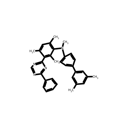 Cc1cc(C)cc(-c2ccc(N(C)c3c(C)cc(C)c(-c4ncnc(-c5ccccc5)n4)c3C)cc2)c1